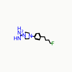 N=C(N)N1CCN(c2ccc(CCCCF)cc2)CC1